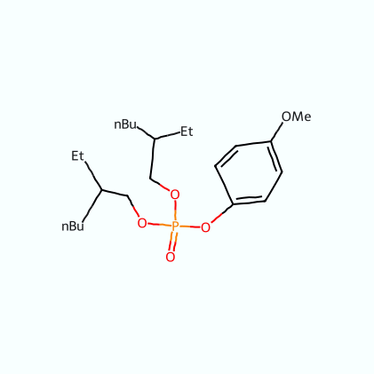 CCCCC(CC)COP(=O)(OCC(CC)CCCC)Oc1ccc(OC)cc1